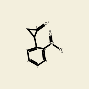 O=C1CC1c1ccccc1[N+](=O)[O-]